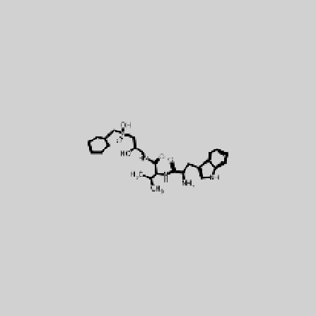 CC(C)C(NC(=O)C(N)Cc1c[nH]c2ccccc12)C(=O)NCC(O)CP(=O)(O)CC1CCCCC1